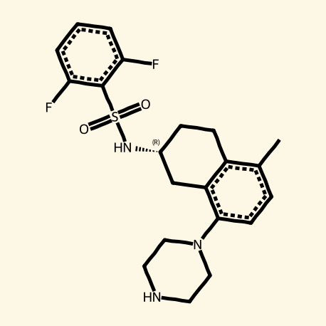 Cc1ccc(N2CCNCC2)c2c1CC[C@@H](NS(=O)(=O)c1c(F)cccc1F)C2